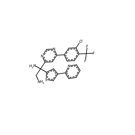 NCC(N)(c1cc(-c2ccc(C(F)(F)F)c(Cl)c2)ncn1)c1cc(-c2ccccn2)cs1